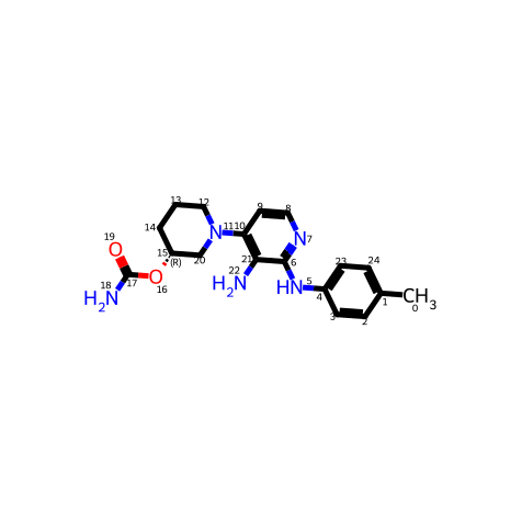 Cc1ccc(Nc2nccc(N3CCC[C@@H](OC(N)=O)C3)c2N)cc1